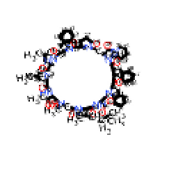 CC(C)C[C@@H]1NC(=O)[C@H](Cc2ccccc2)N(C)C(=O)[C@@H]2CCCN2C(=O)C[C@@H](C(=O)N2CCCCC2)N(C)C(=O)[C@H](Cc2ccccc2)C(C)C(=O)[C@H](Cc2ccccc2)N(C)C(=O)[C@H](COC(C)(C)C)NC(=O)[C@H](C(C)C)N(C)C(=O)CN(C)C(=O)[C@H]([C@@H](C)O)NC(=O)[C@H](CC(C)C)N(C)C1=O